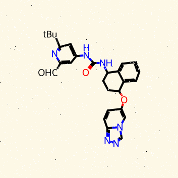 CC(C)(C)c1cc(NC(=O)NC2CCC(Oc3ccc4nncn4c3)c3ccccc32)cc(C=O)n1